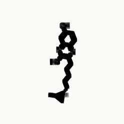 CC1C[C@H]1CCCCCc1nc2ccc(O)cc2nc1O